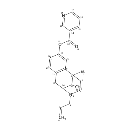 C=CCN1CCC2(CC)c3cc(OC(=O)c4cccnc4)ccc3CC1C2C